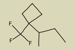 CCC(C)C1(C(F)(F)F)CCC1